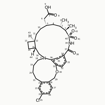 C[C@@H]1[C@@H](C)C[C@@H](CC(=O)O)CC[C@@H]2CC[C@H]2CN2CCCCc3cc(Cl)ccc3COc3ccc(cc32)C(=O)NS1(=O)=O